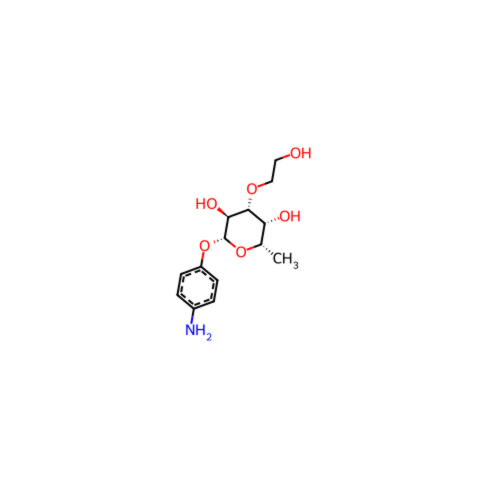 C[C@@H]1O[C@H](Oc2ccc(N)cc2)[C@@H](O)[C@H](OCCO)[C@@H]1O